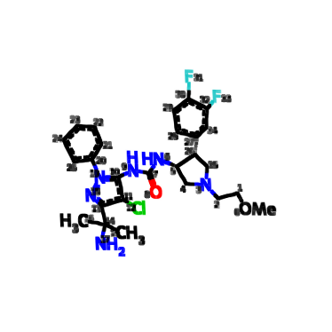 COCCN1C[C@@H](NC(=O)Nc2c(Cl)c(C(C)(C)N)nn2-c2ccccc2)[C@H](c2ccc(F)c(F)c2)C1